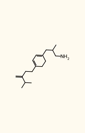 C=C(CCC1=CC=C(CC(C)CN)CC1)C(C)C